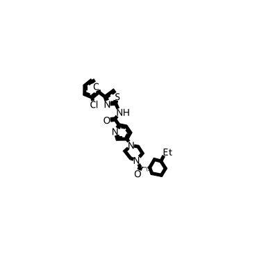 CCC1CCC[C@H](C(=O)N2CCN(c3ccc(C(=O)Nc4nc(-c5ccccc5Cl)cs4)nc3)CC2)C1